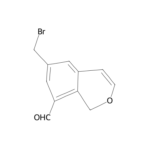 O=Cc1cc(CBr)cc2c1COC=C2